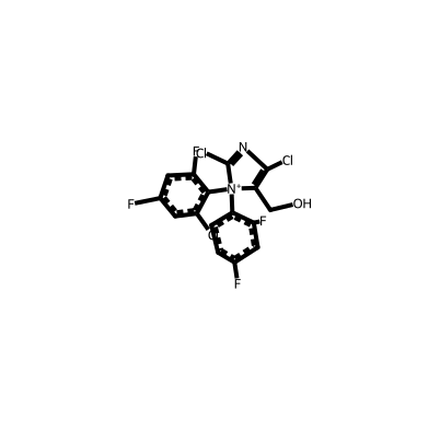 OCC1=C(Cl)N=C(Cl)[N+]1(c1ccc(F)cc1F)c1c(F)cc(F)cc1Cl